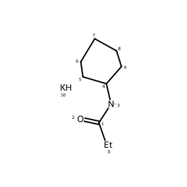 CCC(=O)[N]C1CCCCC1.[KH]